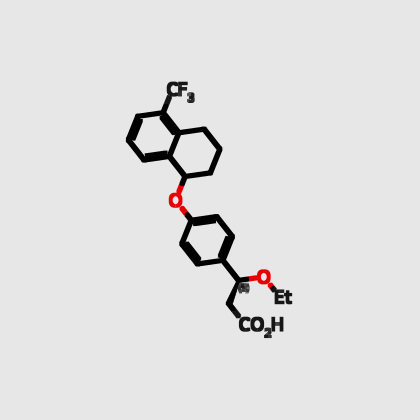 CCO[C@@H](CC(=O)O)c1ccc(OC2CCCc3c2cccc3C(F)(F)F)cc1